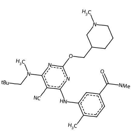 CNC(=O)c1ccc(C)c(Nc2nc(OCC3CCCN(C)C3)nc(N(C)CC(C)(C)C)c2C#N)c1